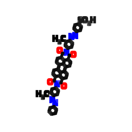 Cc1cc(N2C(=O)c3ccc4c5ccc6c7c(ccc(c8ccc(c3c48)C2=O)c75)C(=O)N(c2ccc(N=Nc3ccc(S(=O)(=O)O)cc3)c(C)c2)C6=O)ccc1N=Nc1ccccc1